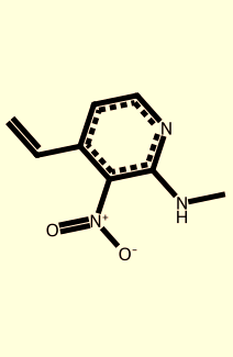 C=Cc1ccnc(NC)c1[N+](=O)[O-]